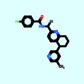 CCC(NC(=O)c1ccc(F)cc1)c1ccc2c(n1)CCCC2c1cncc(C)c1